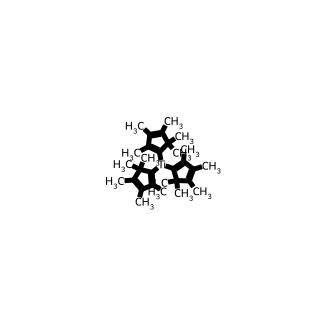 CC1=C(C)C(C)(C)[C]([Ti]([C]2=C(C)C(C)=C(C)C2(C)C)[C]2=C(C)C(C)=C(C)C2(C)C)=C1C